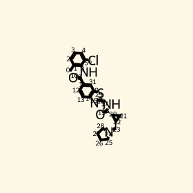 Cc1cccc(Cl)c1NC(=O)c1ccc2nc(NC(=O)[C@@H]3C[C@H]3CN3CCCC3)sc2c1